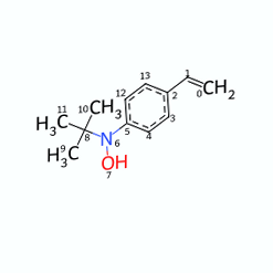 C=Cc1ccc(N(O)C(C)(C)C)cc1